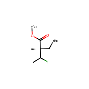 CC(F)[C@](C)(CC(C)(C)C)C(=O)OC(C)(C)C